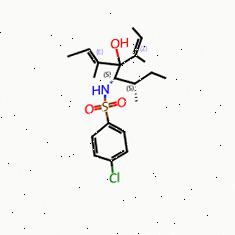 C/C=C(/C)C(O)(/C(C)=C/C)[C@@H](NS(=O)(=O)c1ccc(Cl)cc1)[C@@H](C)CC